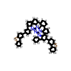 c1ccc(-c2cccc(-c3ccccc3)c2-c2nc(-n3c4ccccc4c4cc(-c5ccc6sc7ccccc7c6c5)ccc43)nc(-n3c4ccccc4c4cc(-c5ccc6sc7ccccc7c6c5)ccc43)n2)cc1